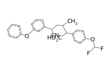 CC(CC(C#N)c1cccc(Oc2ccccc2)c1)C(C(=O)O)c1ccc(OC(F)F)cc1